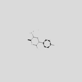 CC1NC(=O)C(NC(=O)O)CC1c1ccc(Cl)cc1